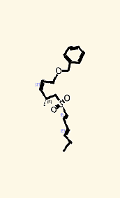 CC/C=C/C=C/S(=O)(=O)C[C@H](C)/C=C\COCc1ccccc1